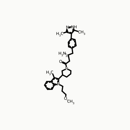 COCCCn1c(C2CCCN(C(=O)C[C@H](N)Cc3ccc(-c4c(C)n[nH]c4C)cc3)C2)c(C)c2ccccc21